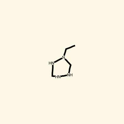 CCN1CNNCN1